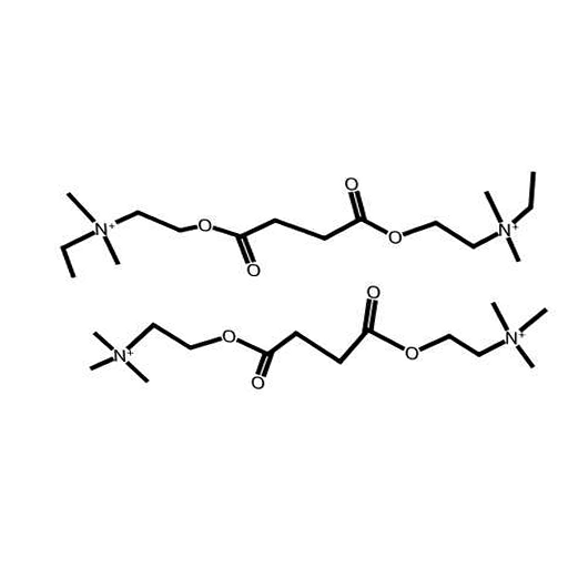 CC[N+](C)(C)CCOC(=O)CCC(=O)OCC[N+](C)(C)CC.C[N+](C)(C)CCOC(=O)CCC(=O)OCC[N+](C)(C)C